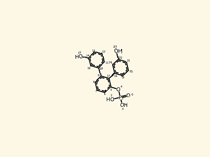 O=P(O)(O)Oc1cccc(-c2cccc(O)c2)c1-c1cccc(O)c1